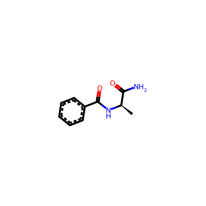 C[C@@H](NC(=O)c1ccccc1)C(N)=O